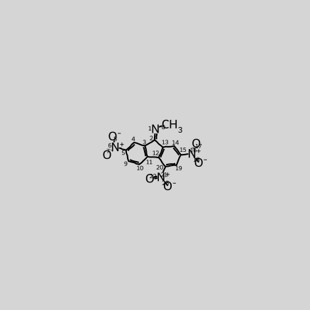 CN=C1c2cc([N+](=O)[O-])ccc2-c2c1cc([N+](=O)[O-])cc2[N+](=O)[O-]